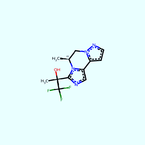 C[C@H]1Cn2nccc2-c2cnc(C(C)(O)C(F)(F)F)n21